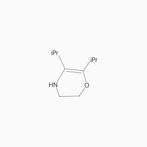 CC(C)C1=C(C(C)C)OCCN1